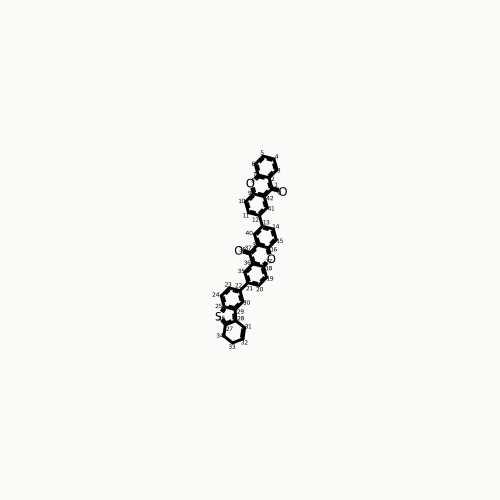 O=c1c2ccccc2oc2ccc(-c3ccc4oc5ccc(-c6ccc7sc8c(c7c6)C=CCC8)cc5c(=O)c4c3)cc12